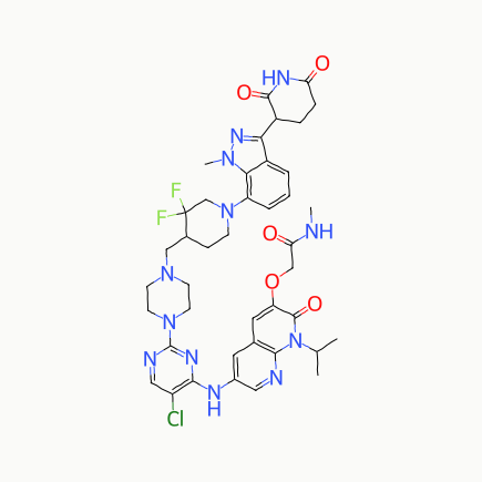 CNC(=O)COc1cc2cc(Nc3nc(N4CCN(CC5CCN(c6cccc7c(C8CCC(=O)NC8=O)nn(C)c67)CC5(F)F)CC4)ncc3Cl)cnc2n(C(C)C)c1=O